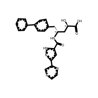 O=C(N[C@H](Cc1ccc(-c2ccccc2)cc1)C[C@@H](O)C(=O)O)c1cc(-c2cnccn2)n[nH]1